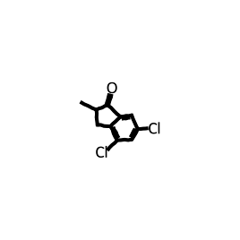 CC1Cc2c(Cl)cc(Cl)cc2C1=O